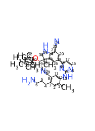 Cc1cc(CCCN)c(C#N)cc1Nc1nccc(-c2cc(C#N)c3c(c2)[C@@](C)(CO[Si](C)(C)C(C)(C)C)CN3)n1